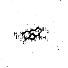 NC(=O)c1ccc(C(N)=O)cc1.NCCCCCCN